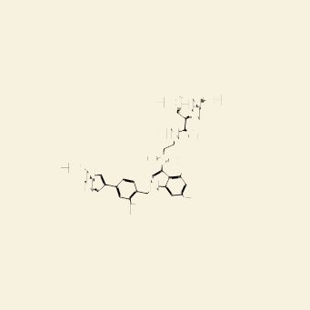 C=C/C(=N\NC)C(=O)NCCS(=O)(=O)c1cn(Cc2ccc(-c3cnn(C)c3)cc2F)c2cc(F)cc(F)c12